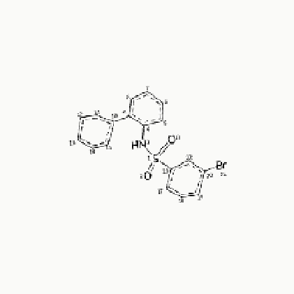 O=S(=O)(Nc1ccccc1-c1ccccc1)c1cccc(Br)c1